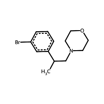 CC(CN1CCOCC1)c1cccc(Br)c1